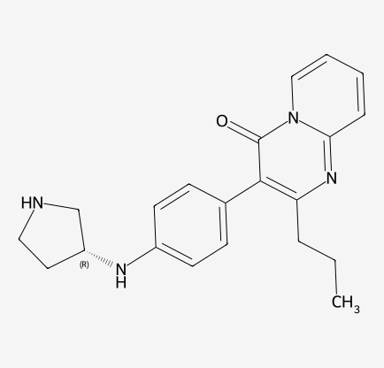 CCCc1nc2ccccn2c(=O)c1-c1ccc(N[C@@H]2CCNC2)cc1